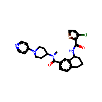 CN(C(=O)c1ccc2c(c1)C(NC(=O)c1sccc1Cl)CCC2)C1CCN(c2ccncc2)CC1